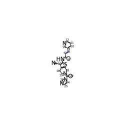 N#Cc1c(NC(=O)/C=C/c2cccnc2)sc2c1CCN(C(=O)n1ccnc1)C2